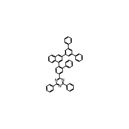 c1ccc(-c2cc(-c3ccccc3)cc(-c3cc(-c4ccc(-c5nc(-c6ccccc6)nc(-c6ccccc6)n5)cc4-c4ccccc4)c4ccccc4c3)c2)cc1